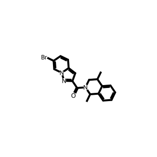 CC1CN(C(=O)c2cc3ccc(Br)cn3n2)C(C)c2ccccc21